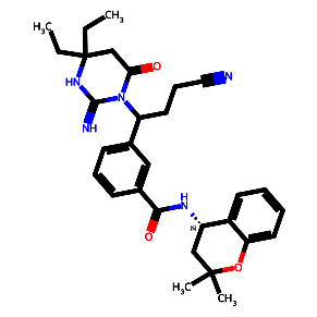 CCC1(CC)CC(=O)N(C(CCC#N)c2cccc(C(=O)N[C@H]3CC(C)(C)Oc4ccccc43)c2)C(=N)N1